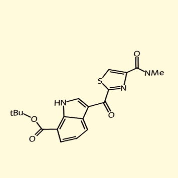 CNC(=O)c1csc(C(=O)c2c[nH]c3c(C(=O)OC(C)(C)C)cccc23)n1